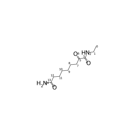 CCNC(=O)C(=O)CCCCCCC(N)=O